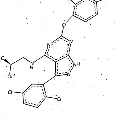 C[C@H](O)CNc1nc(Oc2ccc(F)cc2F)nc2[nH]nc(-c3cc(Cl)ccc3Cl)c12